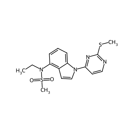 CCN(c1cccc2c1ccn2-c1ccnc(SC)n1)S(C)(=O)=O